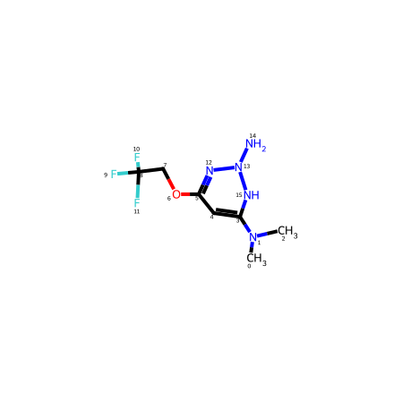 CN(C)C1=CC(OCC(F)(F)F)=NN(N)N1